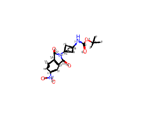 CC(C)(C)OC(=O)NC12CC(N3C(=O)c4ccc([N+](=O)[O-])cc4C3=O)(C1)C2